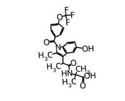 Cc1c(C(C)C(=O)NC(C)(C)C(=O)O)c2cc(O)ccc2n1C(=O)c1ccc(OC(F)(F)F)cc1